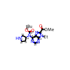 CCn1c(C(=O)OC)nc2c(N(C(=O)OC(C)(C)C)[C@H]3CCNC3)ncnc21